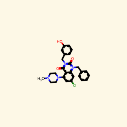 CN1CCN(c2cc(Cl)cc3c2c(=O)n(Cc2cccc(O)c2)c(=O)n3Cc2ccccc2)CC1